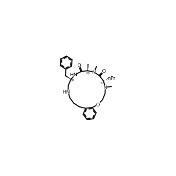 CCC[C@H]1C(=O)N(C)[C@H](C)C(=O)N[C@H](Cc2ccccc2)CNCCCc2ccccc2OCCN1C